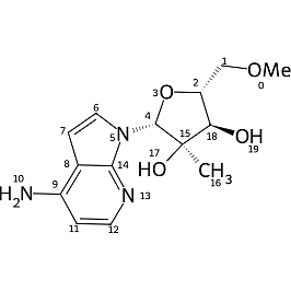 COC[C@H]1O[C@@H](n2ccc3c(N)ccnc32)[C@](C)(O)[C@@H]1O